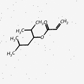 C=CC(=O)OC(CC(C)C)C(C)C